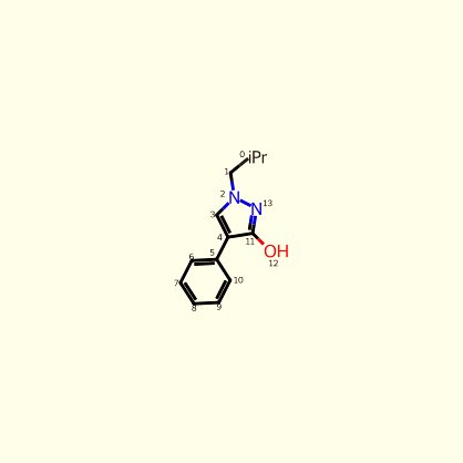 CC(C)Cn1cc(-c2ccccc2)c(O)n1